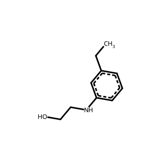 CCc1cccc(NCCO)c1